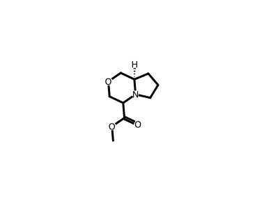 COC(=O)C1COC[C@H]2CCCN12